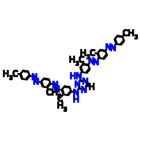 [2H]c1nc(Nc2ccc(N=Nc3ccc(N=Nc4ccc(C)cc4)cc3C)c(C)c2)nc(Nc2ccc(N=Nc3ccc(N=Nc4ccc(C)cc4)cc3C)c(C)c2)n1